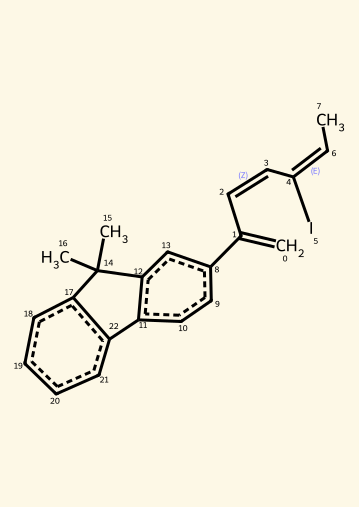 C=C(/C=C\C(I)=C/C)c1ccc2c(c1)C(C)(C)c1ccccc1-2